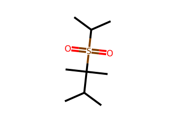 CC(C)C(C)(C)S(=O)(=O)C(C)C